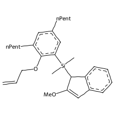 C=CCOc1c(CCCCC)cc(CCCCC)cc1[Si](C)(C)C1C(OC)=Cc2ccccc21